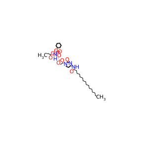 CCCCCCCCCCCCCCCC(=O)Nc1ccn([C@@H]2CO[C@H](COP(=O)(NOC(=O)CC)Oc3ccccc3)O2)c(=O)n1